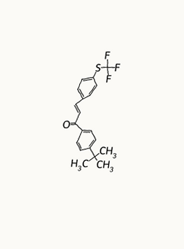 CC(C)(C)c1ccc(C(=O)C=Cc2ccc(SC(F)(F)F)cc2)cc1